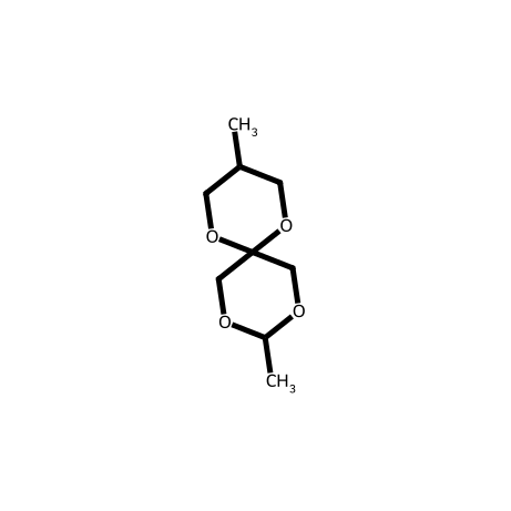 CC1COC2(COC(C)OC2)OC1